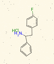 Cl.NC(Cc1ccc(F)cc1)c1ccccc1